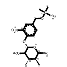 CC(=O)OC1[C@H](Oc2ccc(CO[Si](C)(C)C(C)(C)C)cc2[N+](=O)[O-])OC(C(C)=O)[C@@H](C)[C@@H]1C